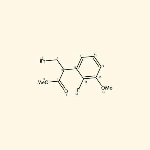 COC(=O)C(CC(C)C)c1cccc(OC)c1F